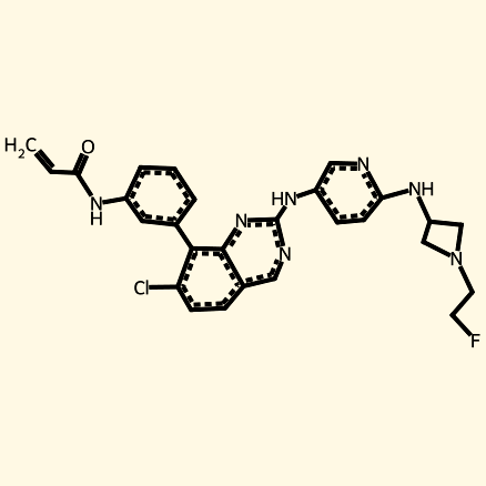 C=CC(=O)Nc1cccc(-c2c(Cl)ccc3cnc(Nc4ccc(NC5CN(CCF)C5)nc4)nc23)c1